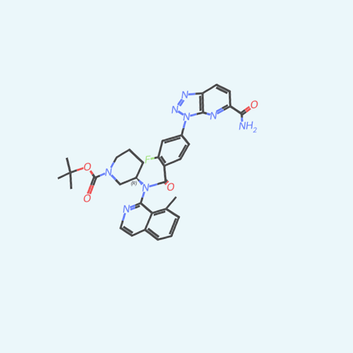 Cc1cccc2ccnc(N(C(=O)c3ccc(-n4nnc5ccc(C(N)=O)nc54)cc3F)[C@@H]3CCCN(C(=O)OC(C)(C)C)C3)c12